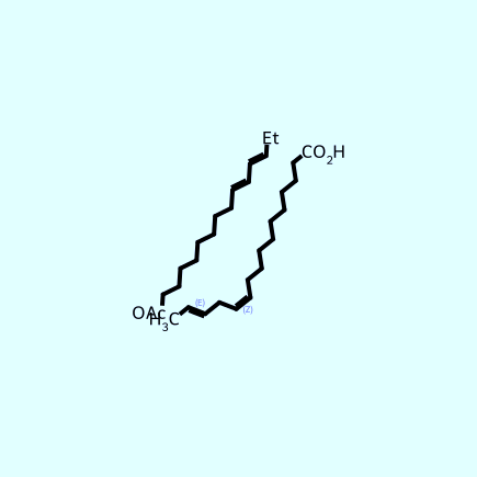 C/C=C/C/C=C\CCCCCCCCCC(=O)O.CCC=CC=CCCCCCCCCOC(C)=O